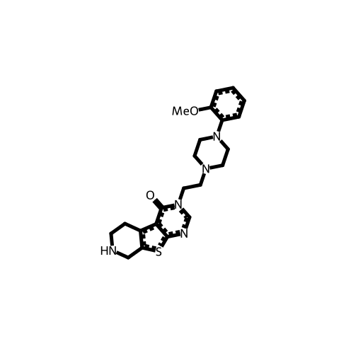 COc1ccccc1N1CCN(CCn2cnc3sc4c(c3c2=O)CCNC4)CC1